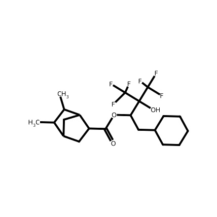 CC1C2CC(C(=O)OC(CC3CCCCC3)C(O)(C(F)(F)F)C(F)(F)F)C(C2)C1C